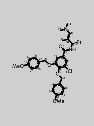 CC[C@@H](NC(=O)c1cc(Cl)c(OCc2ccc(OC)cc2)c(OCc2ccc(OC)cc2)c1)/C(C)=C/N(C)C